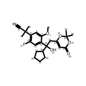 COc1cc(C(C)(C)C#N)c(F)cc1C(O)(CC1=CC(=O)OC(C)(C)O1)C1CCCC1